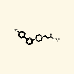 N#Cc1ccc(-c2cccc(N3CCN(CCNC(=O)O)CC3)n2)cc1